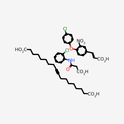 O=C(O)C=Cc1ccc(Oc2ccc(Cl)cc2)c([N+](=O)[O-])c1.O=C(O)CC(=O)Nc1ccccc1Cl.O=C(O)CCCCCCCC#CCCCCCCCC(=O)O